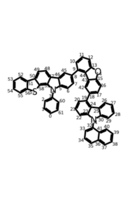 c1ccc(-n2c3ccc(-c4cccc5oc6ccc(-c7cccc8c7c7ccccc7n8-c7cccc8ccccc78)cc6c45)cc3c3ccc4c5ccccc5sc4c32)cc1